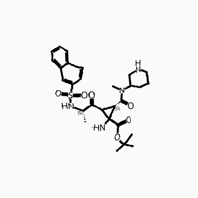 C[C@H](NS(=O)(=O)c1ccc2ccccc2c1)C(=O)C1[C@H](C(=O)N(C)C2CCCNC2)C1([NH])C(=O)OC(C)(C)C